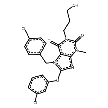 Cn1c(=O)n(CCCO)c(=O)c2c1nc(Oc1cccc(Cl)c1)n2Cc1ccc(Cl)cc1